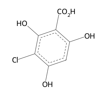 O=C(O)c1c(O)cc(O)c(Cl)c1O